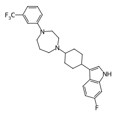 Fc1ccc2c(C3CCC(N4CCCN(c5cccc(C(F)(F)F)c5)CC4)CC3)c[nH]c2c1